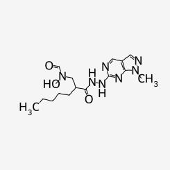 CCCCCC(CN(O)C=O)C(=O)NNc1ncc2cnn(C)c2n1